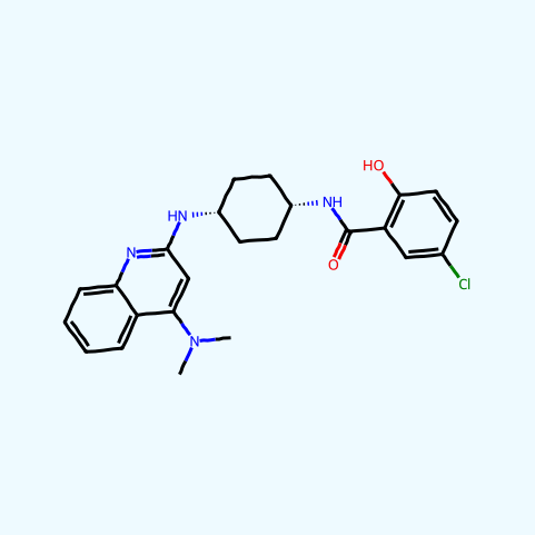 CN(C)c1cc(N[C@H]2CC[C@@H](NC(=O)c3cc(Cl)ccc3O)CC2)nc2ccccc12